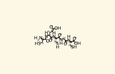 N[C@@H](CS)C(=O)N[C@@H](CCC(=O)O)C(=O)N[C@@H](CS)C(=O)NCC(=O)N[C@@H](CS)C(=O)O